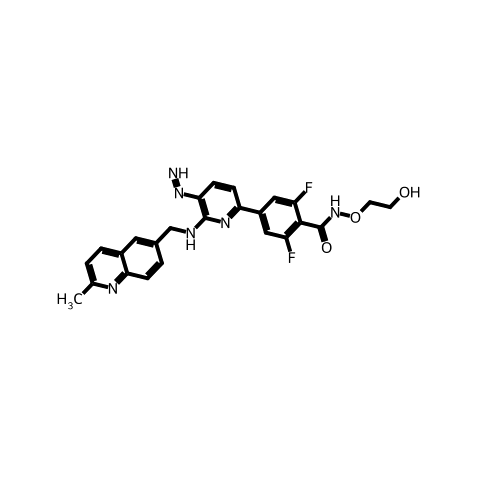 Cc1ccc2cc(CNc3nc(-c4cc(F)c(C(=O)NOCCO)c(F)c4)ccc3N=N)ccc2n1